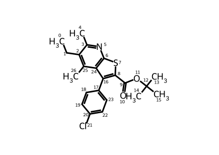 CCc1c(C)nc2sc(C(=O)OC(C)(C)C)c(-c3ccc(Cl)cc3)c2c1C